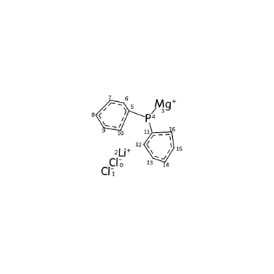 [Cl-].[Cl-].[Li+].[Mg+][P](c1ccccc1)c1ccccc1